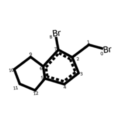 BrCc1ccc2c(c1Br)CCCC2